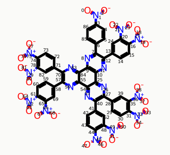 O=[N+]([O-])c1ccc(-c2nc3c(nc2-c2ccc([N+](=O)[O-])c([N+](=O)[O-])c2)c2nc(-c4ccc([N+](=O)[O-])c([N+](=O)[O-])c4)c(-c4ccc([N+](=O)[O-])c([N+](=O)[O-])c4)nc2c2nc(-c4ccc([N+](=O)[O-])c([N+](=O)[O-])c4)c(-c4ccc([N+](=O)[O-])c([N+](=O)[O-])c4)nc32)cc1